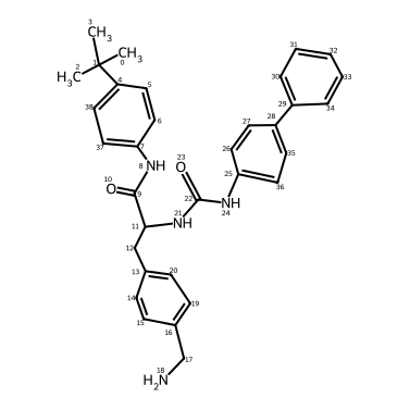 CC(C)(C)c1ccc(NC(=O)C(Cc2ccc(CN)cc2)NC(=O)Nc2ccc(-c3ccccc3)cc2)cc1